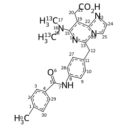 Cc1ccc(C(=O)Nc2ccc(Cc3nc(N([13CH3])[13CH3])c(C[13C](=O)O)c4nccn34)cc2)cc1